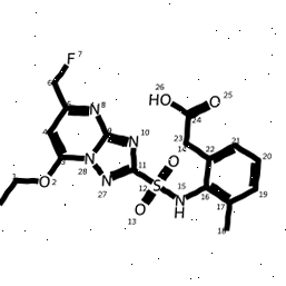 CCOc1cc(CF)nc2nc(S(=O)(=O)Nc3c(C)cccc3CC(=O)O)nn12